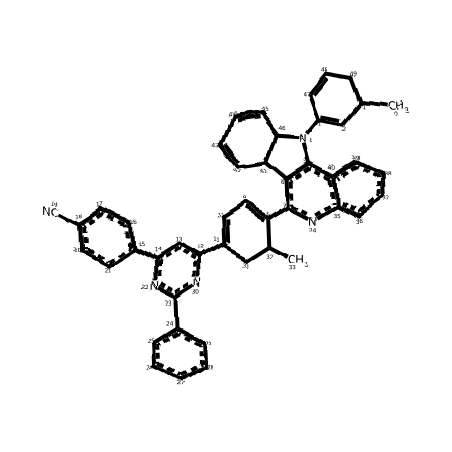 CC1C=C(N2c3c(c(C4=CC=C(c5cc(-c6ccc(C#N)cc6)nc(-c6ccccc6)n5)CC4C)nc4ccccc34)C3C=CC=CC32)C=CC1